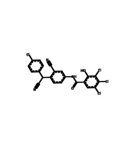 N#Cc1cc(NC(=O)c2cc(Cl)c(Cl)c(Cl)c2O)ccc1C(C#N)c1ccc(Cl)cc1